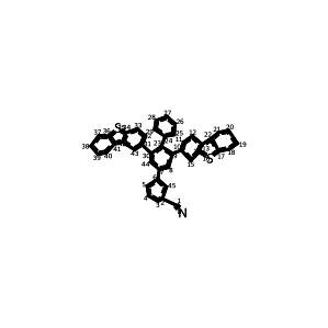 N#Cc1cccc(-c2cc(-c3ccc4c(c3)sc3ccccc34)c(-c3ccccc3)c(-c3ccc4sc5ccccc5c4c3)c2)c1